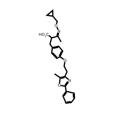 C/C(=N/OCC1CC1)C(Cc1ccc(OCCc2nc(-c3ccccc3)oc2C)cc1)C(=O)O